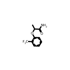 CC(Oc1ccccc1C(F)(F)F)C(N)=O